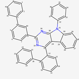 c1ccc(-c2cccc(-c3nc(-c4ccccc4-c4ccccc4)c4c5ccccc5n(-c5ccccc5)c4n3)c2)cc1